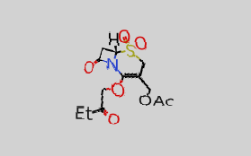 CCC(=O)COC1=C(COC(C)=O)CS(=O)(=O)[C@H]2CC(=O)N12